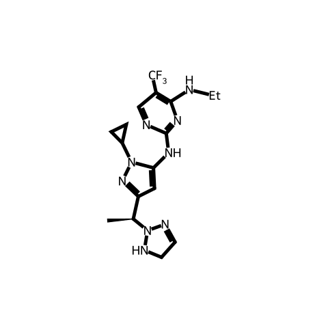 CCNc1nc(Nc2cc([C@H](C)N3N=CCN3)nn2C2CC2)ncc1C(F)(F)F